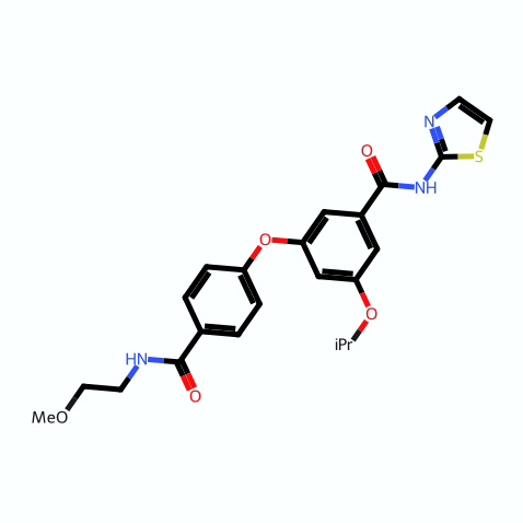 COCCNC(=O)c1ccc(Oc2cc(OC(C)C)cc(C(=O)Nc3nccs3)c2)cc1